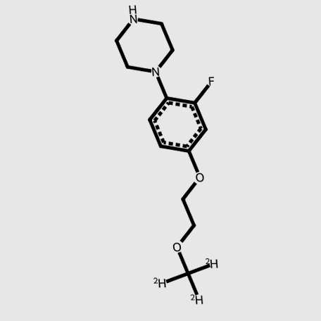 [2H]C([2H])([2H])OCCOc1ccc(N2CCNCC2)c(F)c1